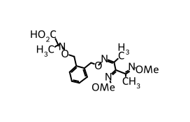 CON=C(C)C(=NOC)C(C)=NOCc1ccccc1CON=C(C)C(=O)O